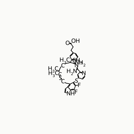 CC1(C)CCC[C@](C)(c2cccc(CCC(=O)O)c2)[C@](C)(N)/N=C(\N)c2cc(ccn2)Sc2c(F)c(F)c3[nH]ccc3c2CCSC1